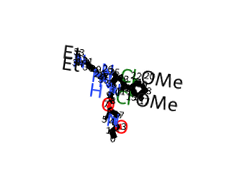 C=CC(=O)N1CC(OCCN2CC(c3c(Cl)c(OC)cc(OC)c3Cl)=Cc3cnc(NCCCN(CC)CC)nc32)C1